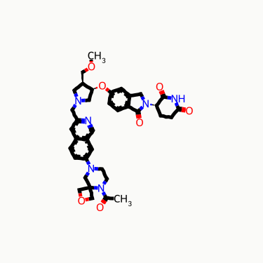 COC[C@@H]1CN(Cc2cc3ccc(N4CCN(C(C)=O)C5(COC5)C4)cc3cn2)C[C@H]1Oc1ccc2c(c1)CN([C@H]1CCC(=O)NC1=O)C2=O